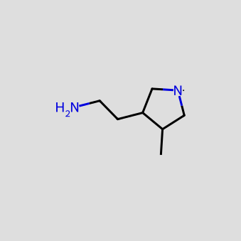 CC1C[N]CC1CCN